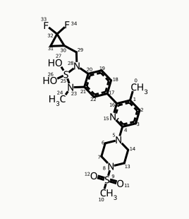 Cc1ccc(N2CCN(S(C)(=O)=O)CC2)nc1-c1ccc2c(c1)N(C)S(O)(O)N2CC1CC1(F)F